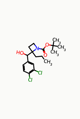 CCCC1(C(O)c2ccc(Cl)c(Cl)c2)CCN1C(=O)OC(C)(C)C